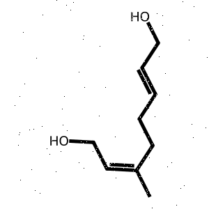 CC(=CCO)CCC=CCO